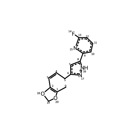 CC1=C(/C=C\Cc2cc(-c3cccc(F)n3)[nH]n2)OCO1